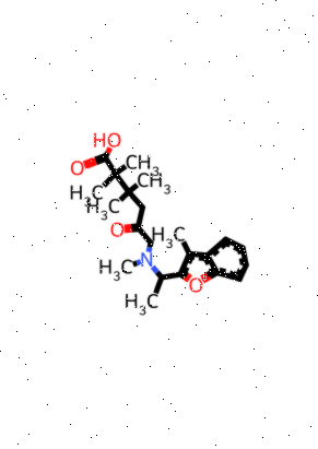 Cc1c(C(C)N(C)CC(=O)CC(C)(C)C(C)(C)C(=O)O)oc2ccccc12